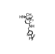 CC(=N)N/C=C\C(C)NCc1ccc(C(F)(F)F)nc1